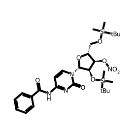 CC(C)(C)[Si](C)(C)OC[C@H]1O[C@@H](n2ccc(NC(=O)c3ccccc3)nc2=O)[C@H](O[Si](C)(C)C(C)(C)C)[C@@H]1O[N+](=O)[O-]